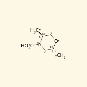 C[C@@H]1CN(C(=O)O)[C@@H](C)CO1